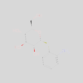 Nc1ccccc1S[C@@H]1O[C@H](CO)[C@@H](O)[C@H](O)[C@@H]1O